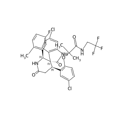 Cc1ccc(F)cc1[C@@H]1NC(=O)C[C@H](c2cc(Cl)ccc2OC(C)(C)C(=O)NCC(F)(F)F)[C@@]12C(=O)Nc1cc(Cl)ccc12